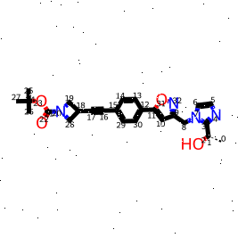 C[C@H](O)c1nccn1Cc1cc(-c2ccc(C#CC3CN(C(=O)OC(C)(C)C)C3)cc2)on1